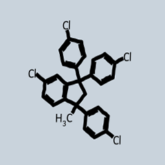 CC1(c2ccc(Cl)cc2)CC(c2ccc(Cl)cc2)(c2ccc(Cl)cc2)c2cc(Cl)ccc21